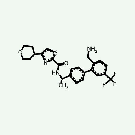 C[C@@H](NC(=O)c1nc(C2CCOCC2)cs1)c1ccc(-c2cc(C(F)(F)F)ccc2CN)cc1